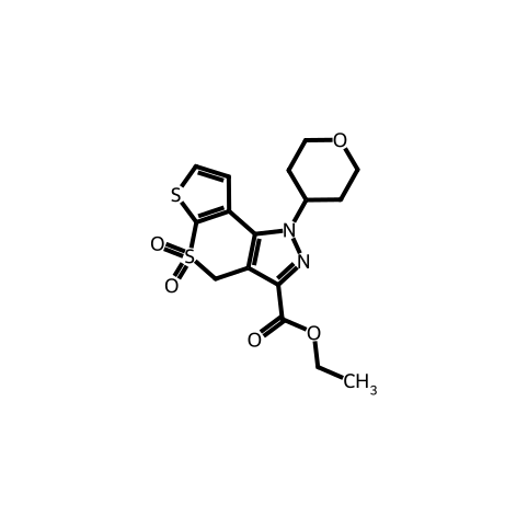 CCOC(=O)c1nn(C2CCOCC2)c2c1CS(=O)(=O)c1sccc1-2